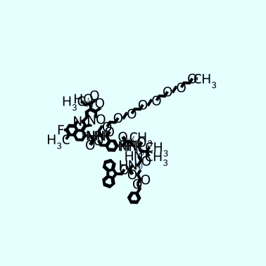 CC[C@@]1(O)C(=O)OCc2c1cc1n(c2=O)Cc2c-1nc1cc(F)c(C)c3c1c2[C@@H](NC(=O)OCc1ccc(NC(=O)[C@H](C)NC(=O)[C@@H](NC(=O)[C@H](CCC(=O)OCc2ccccc2)NC(=O)OCC2c4ccccc4-c4ccccc42)C(C)C)cc1C(=O)NCCOCCOCCOCCOCCOCCOCCOCCOC)CC3